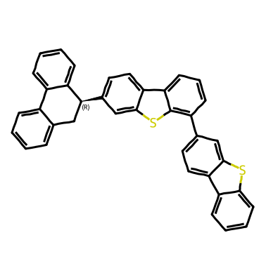 c1ccc2c(c1)C[C@H](c1ccc3c(c1)sc1c(-c4ccc5c(c4)sc4ccccc45)cccc13)c1ccccc1-2